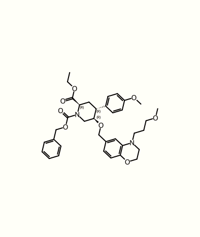 CCOC(=O)[C@H]1C[C@H](c2ccc(OC)cc2)[C@@H](OCc2ccc3c(c2)N(CCCOC)CCO3)CN1C(=O)OCc1ccccc1